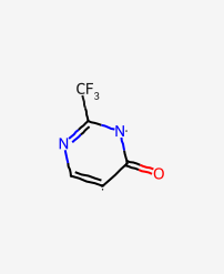 O=C1[C]=CN=C(C(F)(F)F)[N]1